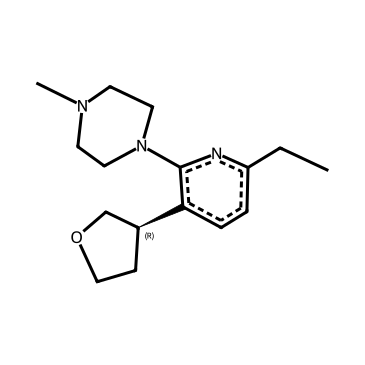 CCc1ccc([C@H]2CCOC2)c(N2CCN(C)CC2)n1